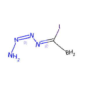 B/C(I)=N/N=N\N